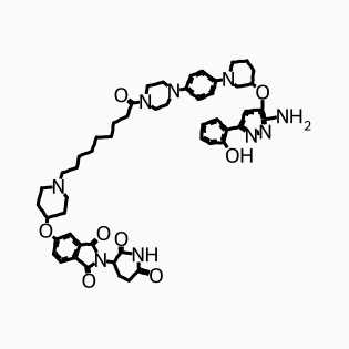 Nc1nnc(-c2ccccc2O)cc1OC1CCCN(c2ccc(N3CCN(C(=O)CCCCCCCCN4CCC(Oc5ccc6c(c5)C(=O)N(C5CCC(=O)NC5=O)C6=O)CC4)CC3)cc2)C1